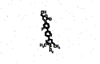 C=NN(C)/N=C(\CCCC)c1ccc(-c2ccc(N3CC(CO)OC3=O)cc2F)cn1